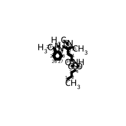 CCCCCS(=O)(=O)NC(=O)C=Cc1c(C)nn(C)c1-n1nc(C)c2ccccc21